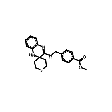 COC(=O)c1ccc(CNC2=Nc3ccccc3NC23CCSCC3)cc1